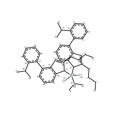 CCCCC1=Cc2c(-c3ccccc3C(C)C)cccc2[CH]1[Zr]([Cl])([Cl])([CH]1C(CCCC)=Cc2c(-c3ccccc3C(C)C)cccc21)[SiH](C)C